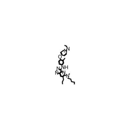 C/C=N\N1C=CC(Oc2ccc(Nc3ncnc4cc(CCC)c(N(C)CCCCC)nc34)cc2C)=CC1